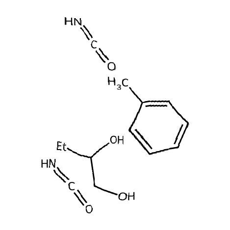 CCC(O)CO.Cc1ccccc1.N=C=O.N=C=O